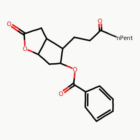 CCCCCC(=O)CCC1C(OC(=O)c2ccccc2)CC2OC(=O)CC21